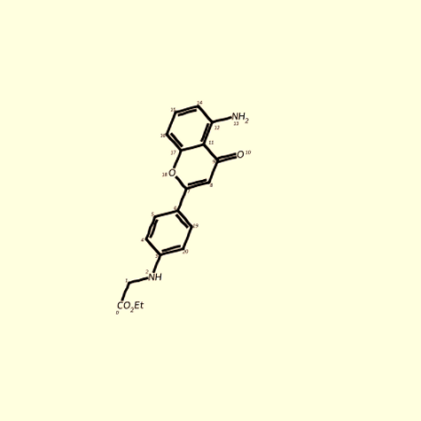 CCOC(=O)CNc1ccc(-c2cc(=O)c3c(N)cccc3o2)cc1